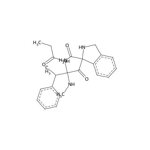 CCC(=O)NC(NC)(C(=O)C1(C(N)=O)NCc2ccccc21)C(C)c1ccccc1